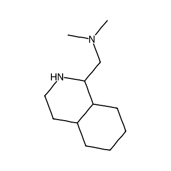 CN(C)CC1NCCC2CCCCC21